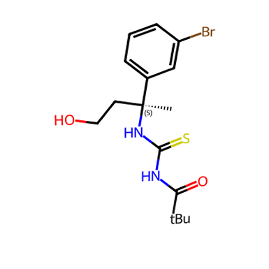 CC(C)(C)C(=O)NC(=S)N[C@@](C)(CCO)c1cccc(Br)c1